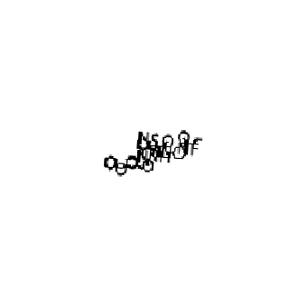 C/C=C(\F)C(=O)N1CCC[C@@H](NC(=O)c2sc3nccc4c3c2NC(=O)N4c2ccc(Oc3ccccc3)cc2C)C1